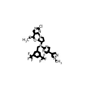 COC(=O)c1cnc(Cl)nc1N1CCC(N(Cc2cc(C(F)(F)F)cc(C(F)(F)F)c2)c2ncc(-c3cnn(C)c3)cn2)C1